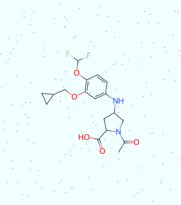 CC(=O)N1CC(Nc2ccc(OC(F)F)c(OCC3CC3)c2)CC1C(=O)O